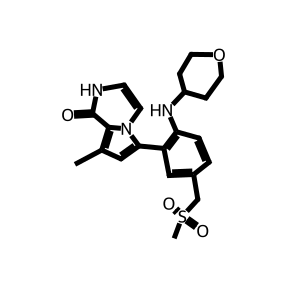 Cc1cc(-c2cc(CS(C)(=O)=O)ccc2NC2CCOCC2)n2cc[nH]c(=O)c12